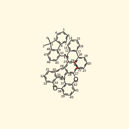 CC1(C)c2ccccc2-c2c(N(c3ccccc3-c3ccccc3)c3ccc4c5c3c3cccc6c3n5-c3c(cccc3O4)O6)cccc21